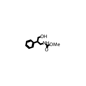 COC(=O)NCC(CO)c1ccccc1